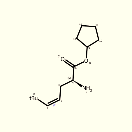 CC(C)(C)/C=C\C[C@H](N)C(=O)OC1CCCC1